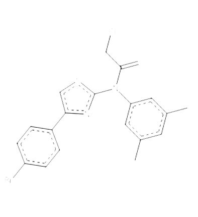 Cc1cc(C)cc(N(C(=O)CCl)c2nc(-c3ccc(Br)cc3)cs2)c1